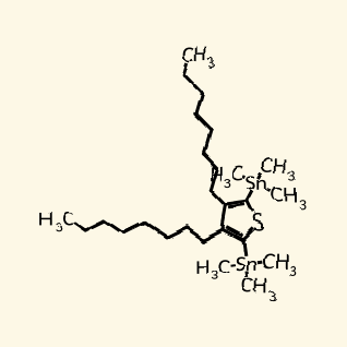 CCCCCCCCc1[c]([Sn]([CH3])([CH3])[CH3])s[c]([Sn]([CH3])([CH3])[CH3])c1CCCCCCCC